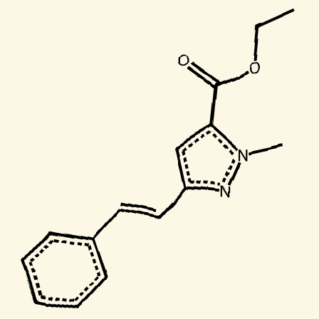 CCOC(=O)c1cc(/C=C/c2ccccc2)nn1C